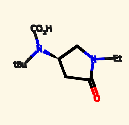 CCN1C[C@@H](N(C(=O)O)C(C)(C)C)CC1=O